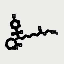 CCOC(=O)CCCCCN([C@@H]1CCCCNC1=O)S(=O)(=O)c1ccc(Cl)cc1